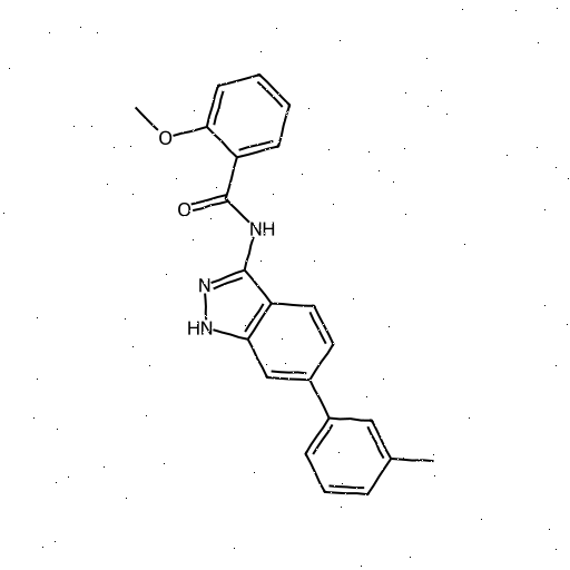 COc1ccccc1C(=O)Nc1n[nH]c2cc(-c3cccc(C)c3)ccc12